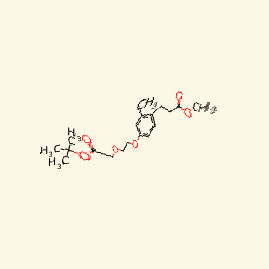 COC(=O)CCc1ccc(OCCOCC(=O)OC(C)(C)C)cc1C